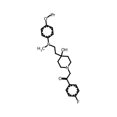 CC(C)Oc1ccc(N(C)CCC2(O)CCN(CC(=O)c3ccc(F)cc3)CC2)cc1